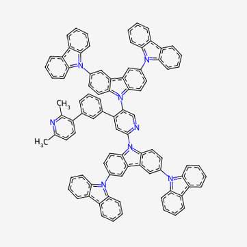 Cc1ccc(-c2cccc(-c3cc(-n4c5ccc(-n6c7ccccc7c7ccccc76)cc5c5cc(-n6c7ccccc7c7ccccc76)ccc54)ncc3-n3c4ccc(-n5c6ccccc6c6ccccc65)cc4c4cc(-n5c6ccccc6c6ccccc65)ccc43)c2)c(C)n1